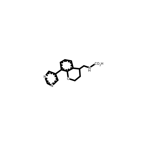 O=C(O)NCC1CCOc2c(-c3cncnc3)cccc21